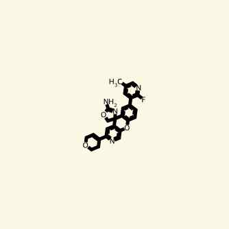 Cc1cnc(F)c(-c2ccc3c(c2)C2(COC(N)=N2)c2cc(C4=CCOCC4)ncc2O3)c1